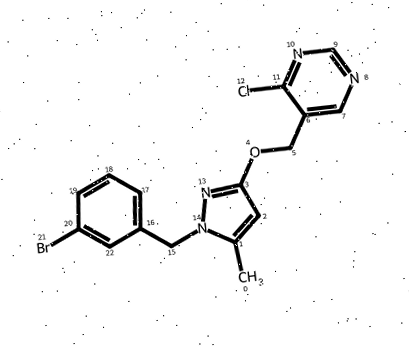 Cc1cc(OCc2cncnc2Cl)nn1Cc1cccc(Br)c1